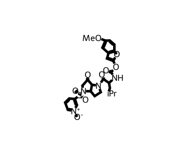 COc1ccc2oc(OC(=O)NC(CC(C)C)C(=O)N3CCC4C3C(=O)CN4S(=O)(=O)c3ccc[n+]([O-])c3)cc2c1